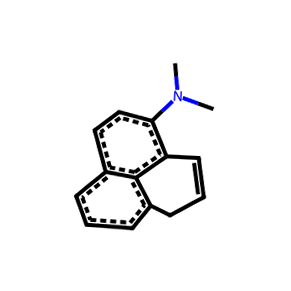 CN(C)c1ccc2cccc3c2c1C=CC3